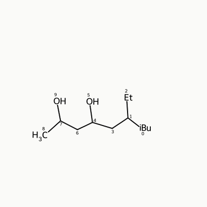 CCC(C)C(CC)CC(O)CC(C)O